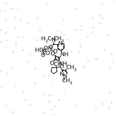 Cc1cn(C)nc1C(Nc1c(Nc2ccnc(C(=O)N(C)C)c2OCOP(=O)(O)O)c(=O)c1=O)C1(C)CCCC1